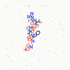 CC[C@H](C)[C@@H]([C@@H](CC(=O)N1CCC[C@H]1[C@H](OC)[C@@H](C)C(=O)N[C@@H](Cc1ccccc1)C(=O)N(C)CCN(C)C(=O)OC(C)(C)C)OC)N(C)C(=O)[C@@H](N=C(N(C)C)N(C)C)C(C)C